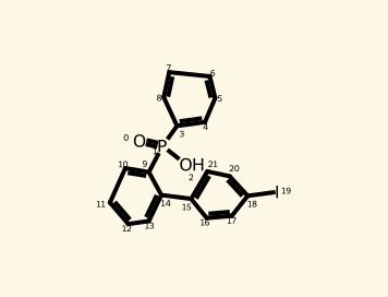 O=P(O)(c1ccccc1)c1ccccc1-c1ccc(I)cc1